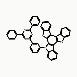 c1ccc(-c2nc(-c3ccccc3)nc(-c3cccc(-n4c5ccccc5c5c6sc7ccccc7c6c6c7ccccc7sc6c54)c3)n2)cc1